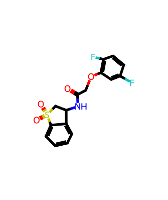 O=C(COc1cc(F)ccc1F)NC1CS(=O)(=O)c2ccccc21